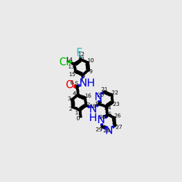 Cc1ccc(C(=O)Nc2ccc(F)c(Cl)c2)cc1Nc1ncccc1-c1ccncn1